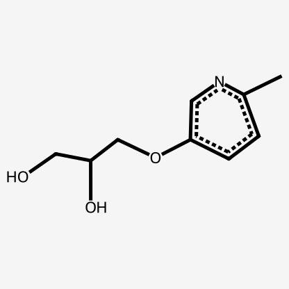 Cc1ccc(OCC(O)CO)cn1